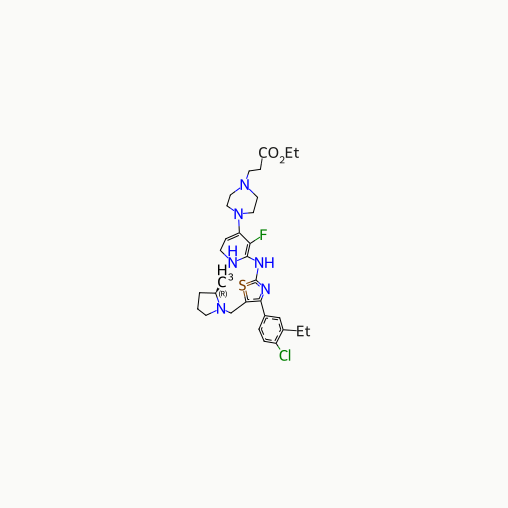 CCOC(=O)CCN1CCN(C2=CCNC(Nc3nc(-c4ccc(Cl)c(CC)c4)c(CN4CCC[C@H]4C)s3)=C2F)CC1